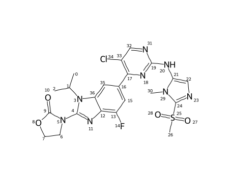 CC(C)n1c(N2CCOC2=O)nc2c(F)cc(-c3nc(Nc4cnc(S(C)(=O)=O)n4C)ncc3Cl)cc21